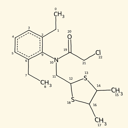 CCc1cccc(CC)c1N(CC1SC(C)C(C)S1)C(=O)CCl